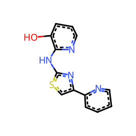 Oc1cccnc1Nc1nc(-c2ccccn2)cs1